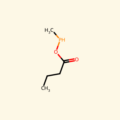 CCCC(=O)OPC